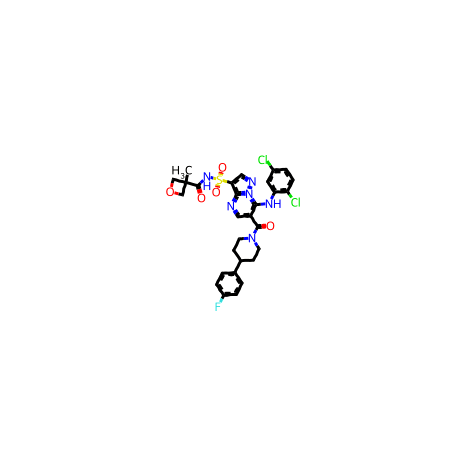 CC1(C(=O)NS(=O)(=O)c2cnn3c(Nc4cc(Cl)ccc4Cl)c(C(=O)N4CCC(c5ccc(F)cc5)CC4)cnc23)COC1